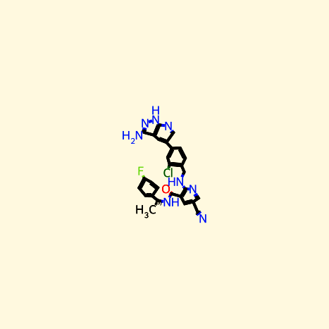 C[C@H](NC(=O)c1cc(C#N)cnc1NCc1ccc(-c2cnc3[nH]nc(N)c3c2)cc1Cl)c1ccc(F)cc1